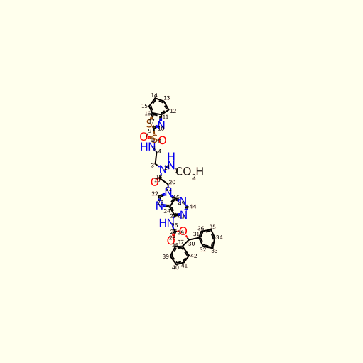 O=C(O)NN(CCNS(=O)(=O)c1nc2ccccc2s1)C(=O)Cn1cnc2c(NC(=O)OC(c3ccccc3)c3ccccc3)ncnc21